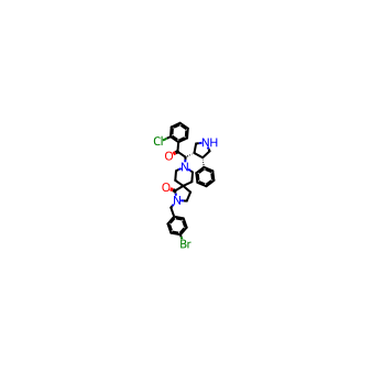 O=C(c1ccccc1Cl)C([C@@H]1CNC[C@@H]1c1ccccc1)N1CCC2(CCN(Cc3ccc(Br)cc3)C2=O)CC1